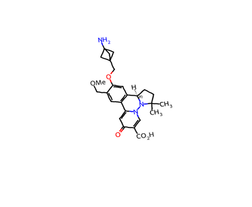 COCc1cc2c(cc1OCC13CC(N)(C1)C3)[C@H]1CCC(C)(C)N1n1cc(C(=O)O)c(=O)cc1-2